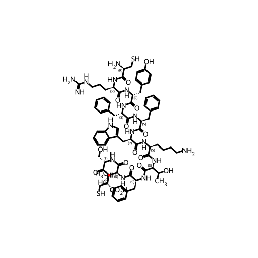 CC(O)[C@H](NC(=O)[C@H](Cc1ccccc1)NC(=O)[C@@H](NC(=O)[C@H](CCCCN)NC(=O)[C@@H](Cc1c[nH]c2ccccc12)NC(=O)[C@H](Cc1ccccc1)NC(=O)[C@H](Cc1ccccc1)NC(=O)[C@@H](Cc1ccc(O)cc1)NC(=O)[C@@H](CCCNC(=N)N)NC(=O)[C@@H](N)CS)C(C)O)C(=O)N[C@@H](CO)C(=O)N[C@@H](CS)C(=O)O